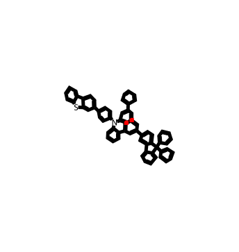 c1ccc(-c2cccc(N(c3ccc(-c4ccc5c(c4)sc4ccccc45)cc3)c3ccccc3-c3cccc(-c4ccc5c(c4)-c4ccccc4C5(c4ccccc4)c4ccccc4)c3)c2)cc1